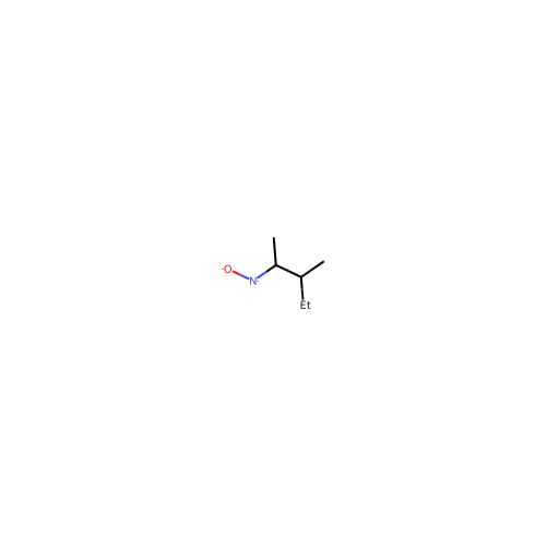 CCC(C)C(C)[N][O]